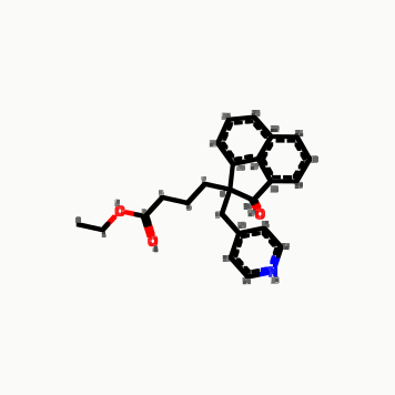 CCOC(=O)CCCC1(Cc2ccncc2)C(=O)c2cccc3cccc1c23